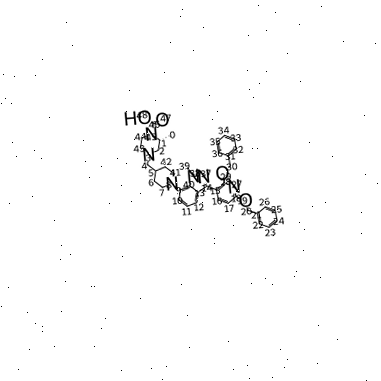 C[C@@H]1CN(CC2CCN(c3cccc4c(-c5ccc(OCc6ccccc6)nc5OCc5ccccc5)nn(C)c34)CC2)CCN1C(=O)O